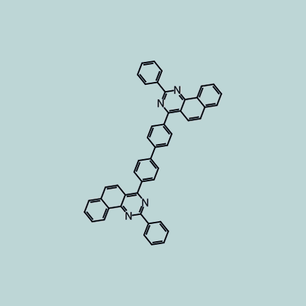 c1ccc(-c2nc(-c3ccc(-c4ccc(-c5nc(-c6ccccc6)nc6c5ccc5ccccc56)cc4)cc3)c3ccc4ccccc4c3n2)cc1